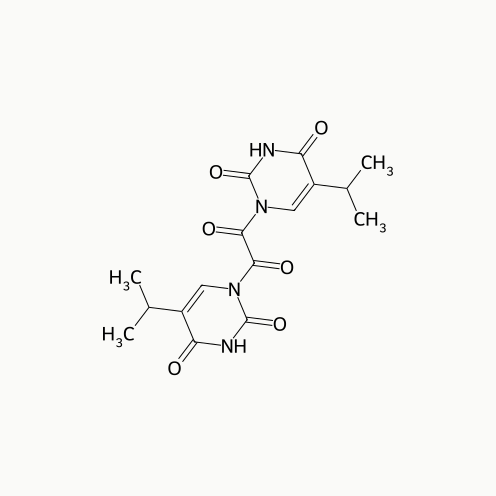 CC(C)c1cn(C(=O)C(=O)n2cc(C(C)C)c(=O)[nH]c2=O)c(=O)[nH]c1=O